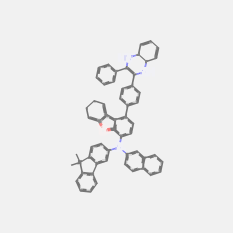 CC1(C)c2ccccc2-c2cc(N(c3ccc4ccccc4c3)c3ccc(-c4ccc(C5=C(c6ccccc6)NC6C=CC=CC6N5)cc4)c4c5c(oc34)=CCCC=5)ccc21